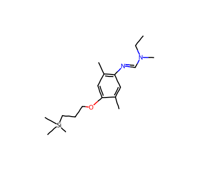 CCN(C)C=Nc1cc(C)c(OCCC[Si](C)(C)C)cc1C